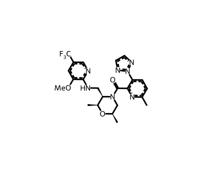 COc1cc(C(F)(F)F)cnc1NC[C@@H]1[C@H](C)O[C@H](C)CN1C(=O)c1nc(C)ccc1-n1nccn1